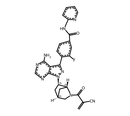 C=C(C#N)C(=O)N1C[C@@H]2C[C@@H]1[C@H](n1nc(-c3ccc(C(=O)Nc4ccccn4)cc3F)c3c(N)ncnc31)C2